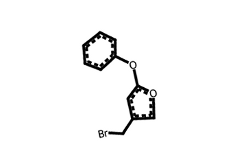 BrCc1coc(Oc2ccccc2)c1